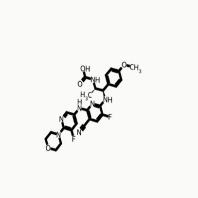 COc1ccc([C@@H](Nc2nc(Nc3cnc(N4CCOCC4)c(F)c3)c(C#N)cc2F)[C@H](C)NC(=O)O)cc1